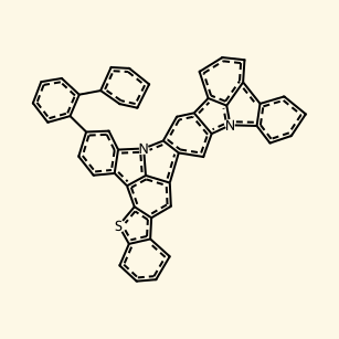 c1ccc(-c2ccccc2-c2ccc3c4c5sc6ccccc6c5cc5c6cc7c(cc6n(c3c2)c54)c2cccc3c4ccccc4n7c32)cc1